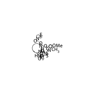 COc1ccc2c(O[C@@H]3C[C@H]4C(=O)N[C@]5(C(=O)NS(=O)(=O)C6CC6)CC5/C=C\CCCCC[C@H](CC(=O)N5CCCC(F)(F)C5)C(=O)N4C3)cc(-c3csc(C(C)C)n3)nc2c1C